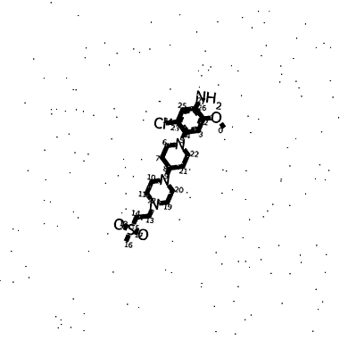 COc1cc(N2CCC(N3CCN(CCS(C)(=O)=O)CC3)CC2)c(Cl)cc1N